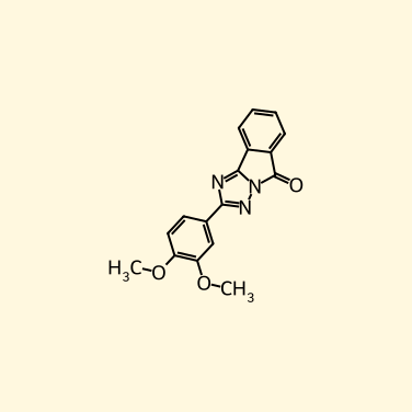 COc1ccc(-c2nc3n(n2)C(=O)c2ccccc2-3)cc1OC